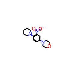 O=[N+]([O-])c1cc(N2CCOCC2)ccc1N1CCCCC1